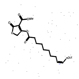 CCCCCCCC/C=C\CCCCCCCC(=O)OC1=C(C(=O)OC)C(=O)OC1